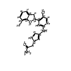 NC(=O)Cn1cc(Nc2ncc(Cl)c(N3Cc4cccc(F)c4O3)n2)cn1